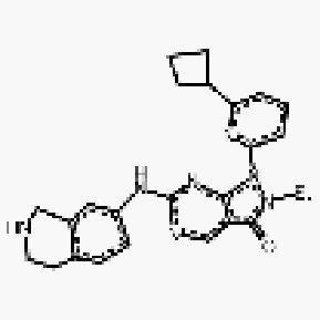 CCn1c(=O)c2cnc(Nc3ccc4c(c3)CNCC4)nc2n1-c1cccc(C2CCC2)n1